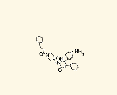 NCc1ccc(-c2cn(CC3(O)CCN(C(=O)CCc4ccccc4)CC3)c(=O)cc2-c2ccccc2)cc1